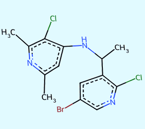 Cc1cc(NC(C)c2cc(Br)cnc2Cl)c(Cl)c(C)n1